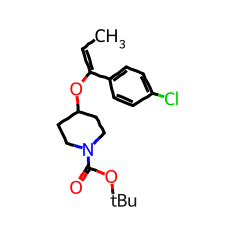 CC=C(OC1CCN(C(=O)OC(C)(C)C)CC1)c1ccc(Cl)cc1